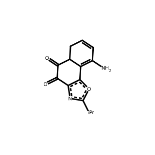 CC(C)c1nc2c(o1)C1=C(N)C=CCC1C(=O)C2=O